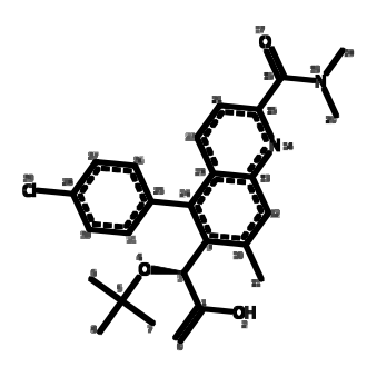 C=C(O)[C@@H](OC(C)(C)C)c1c(C)cc2nc(C(=O)N(C)C)ccc2c1-c1ccc(Cl)cc1